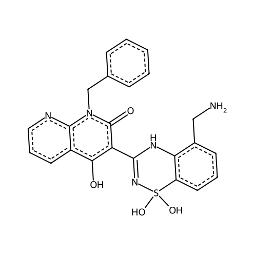 NCc1cccc2c1NC(c1c(O)c3cccnc3n(Cc3ccccc3)c1=O)=NS2(O)O